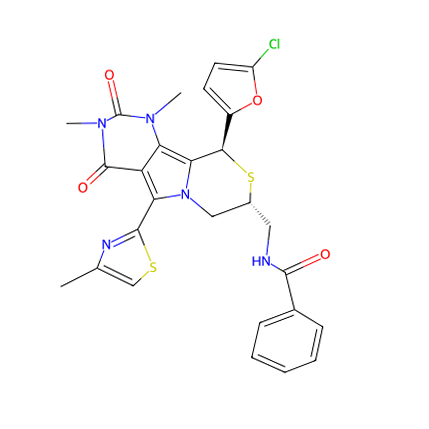 Cc1csc(-c2c3c(=O)n(C)c(=O)n(C)c3c3n2C[C@@H](CNC(=O)c2ccccc2)S[C@@H]3c2ccc(Cl)o2)n1